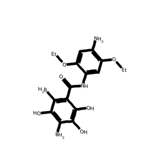 Bc1c(O)c(B)c(C(=O)Nc2cc(OCC)c(N)cc2OCC)c(O)c1O